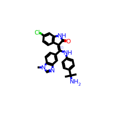 Cn1cnc2cc(/C(Nc3ccc(C(C)(C)N)cc3)=C3/C(=O)Nc4cc(Cl)ccc43)ccc21